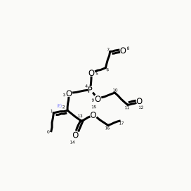 C/C=C(/OP(OCC=O)OCC=O)C(=O)OCC